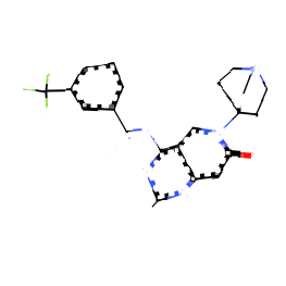 Cc1nc(N[C@H](O)c2cccc(C(F)(F)F)c2)c2cn(C34CCN(CC3)CC4)c(=O)cc2n1